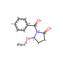 CCCC(C)OC1CCC(=O)N1C(=O)c1ccccc1